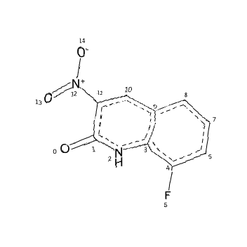 O=c1[nH]c2c(F)cccc2cc1[N+](=O)[O-]